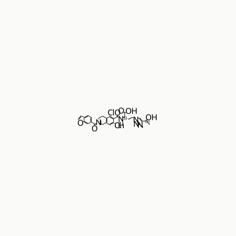 C[C@H](O)c1cn(CC[C@H](NC(=O)c2c(Cl)cc3c(c2Cl)CCN(C(=O)c2ccc4ccoc4c2)C3)C(=O)O)nn1